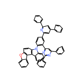 c1ccc(-c2cc(-c3ccccc3)nc(-c3ccc(-n4c5ccccc5c5c6c(ccc54)oc4ccccc46)c(-c4cc(-c5ccccc5)nc(-c5ccccc5)n4)c3)c2)cc1